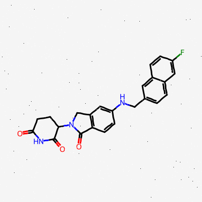 O=C1CCC(N2Cc3cc(NCc4ccc5cc(F)ccc5c4)ccc3C2=O)C(=O)N1